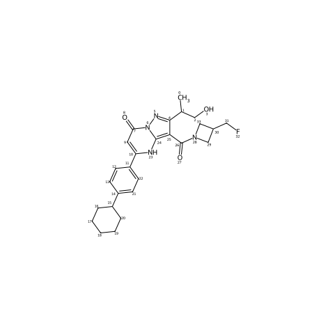 CC(CO)c1nn2c(=O)cc(-c3ccc(C4CCCCC4)cc3)[nH]c2c1C(=O)N1CC(CF)C1